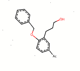 CC(=O)c1ccc(OCc2ccccc2)c(CCCO)c1